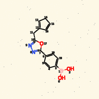 OB(O)c1ccc(-c2nnc(CC3=CCC=C3)o2)cc1